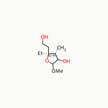 CC[C@@]1(CCO)OC(OC)C(O)[C@H]1C